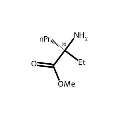 CCC[C@](N)(CC)C(=O)OC